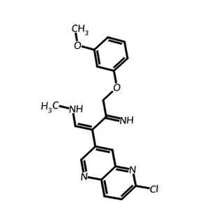 CN/C=C(\C(=N)COc1cccc(OC)c1)c1cnc2ccc(Cl)nc2c1